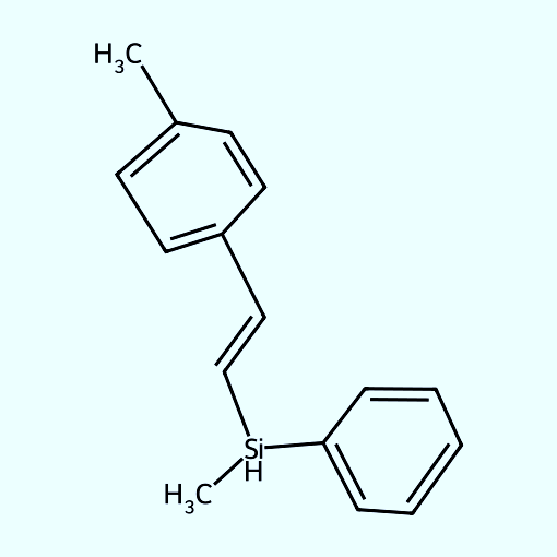 Cc1ccc(C=C[SiH](C)c2ccccc2)cc1